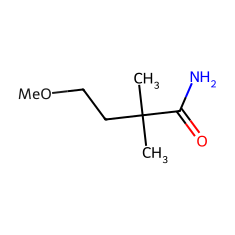 COCCC(C)(C)C(N)=O